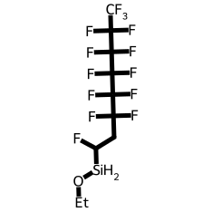 CCO[SiH2]C(F)CC(F)(F)C(F)(F)C(F)(F)C(F)(F)C(F)(F)C(F)(F)F